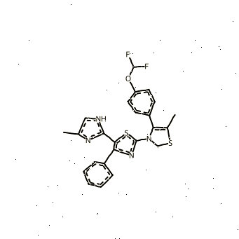 CC1=C(c2ccc(OC(F)F)cc2)N(c2nc(-c3ccccc3)c(-c3nc(C)c[nH]3)s2)[CH]S1